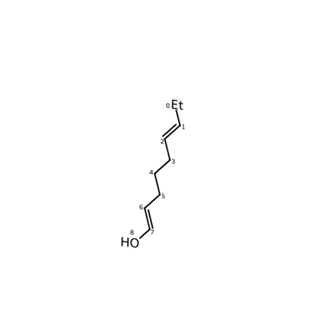 CCC=CCCCC=CO